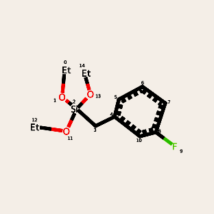 CCO[Si](Cc1cccc(F)c1)(OCC)OCC